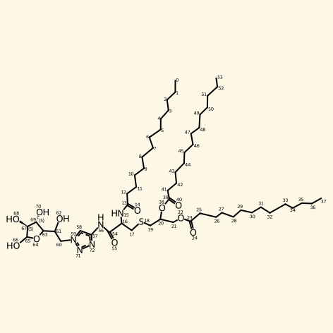 CCCCCCCCCCCCCC(=O)NC(CSCC(COC(=O)CCCCCCCCCCCCC)OC(=O)CCCCCCCCCCCCC)C(=O)Nc1cn(CC(O)C2OC(O)[C@@H](O)[C@@H]2O)nn1